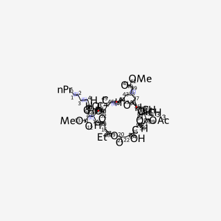 CCC/C=C/C=C/C(=O)O[C@@H]1/C(=C/C(=O)OC)C[C@H]2C[C@@H](CC)OC(=O)C[C@@H](O)C[C@H]3C[C@H](OC(C)=O)C(C)(C)[C@](O)(C[C@@H]4C/C(=C/C(=O)OC)C[C@@H](/C=C/C(C)(C)[C@]1(O)O2)O4)O3